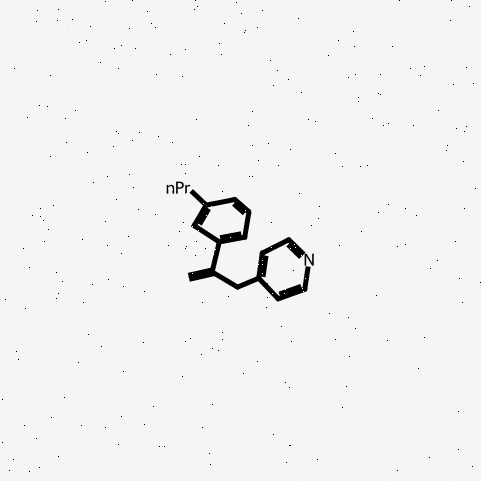 C=C(Cc1ccncc1)c1cccc(CCC)c1